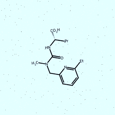 CCc1cccc(CN(C)C(=O)N[C@H](C(=O)O)C(C)C)n1